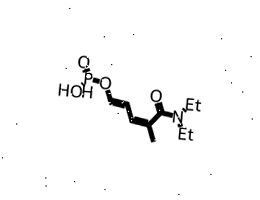 CCN(CC)C(=O)/C(C)=C\C=C\O[PH](=O)O